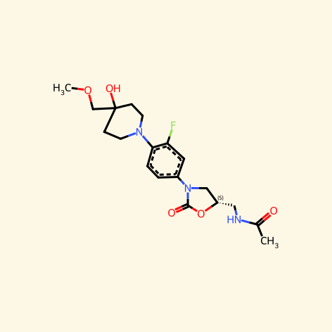 COCC1(O)CCN(c2ccc(N3C[C@H](CNC(C)=O)OC3=O)cc2F)CC1